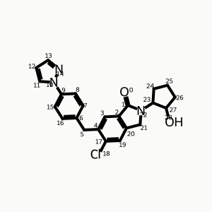 O=C1c2cc(Cc3ccc(-n4cccn4)cc3)c(Cl)cc2CN1C1CCCC1O